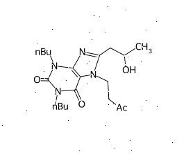 CCCCn1c(=O)c2c(nc(CC(C)O)n2CCC(C)=O)n(CCCC)c1=O